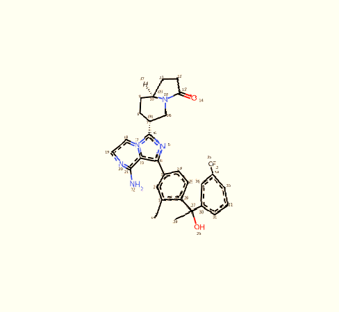 Cc1cc(-c2nc([C@@H]3CC[C@H]4CCC(=O)N4C3)n3ccnc(N)c23)ccc1C(C)(O)c1cccc(C(F)(F)F)c1